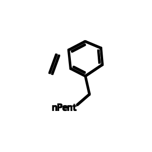 C=C.CCCCCCc1ccccc1